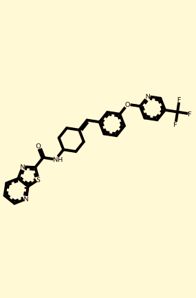 O=C(NC1CCC(=Cc2cccc(Oc3ccc(C(F)(F)F)cn3)c2)CC1)c1nc2cccnc2s1